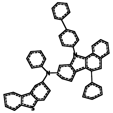 c1ccc(-c2ccc(-n3c4cc(N(c5ccccc5)c5ccc6sc7ccccc7c6c5)ccc4c4c(-c5ccccc5)cc5ccccc5c43)cc2)cc1